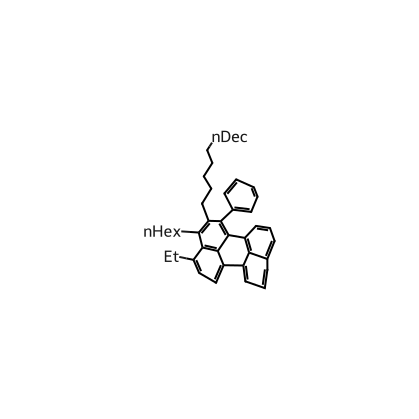 CCCCCCCCCCCCCCCc1c(CCCCCC)c2c(CC)ccc3c4cccc5cccc(c(c1-c1ccccc1)c23)c54